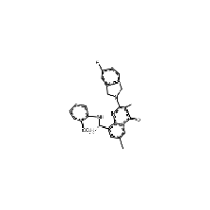 Cc1cc([C@H](C)Nc2ccccc2C(=O)O)c2nc(N3Cc4ccc(F)cc4C3)c(C)c(=O)n2c1